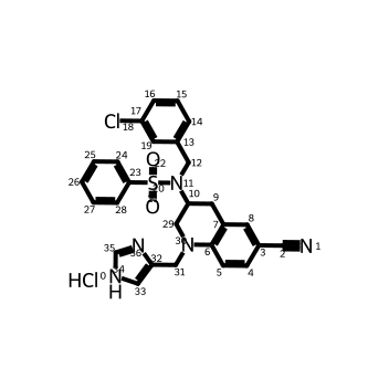 Cl.N#Cc1ccc2c(c1)CC(N(Cc1cccc(Cl)c1)S(=O)(=O)c1ccccc1)CN2Cc1c[nH]cn1